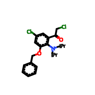 CC(C)N(c1c(OCc2ccccc2)cc(Cl)cc1C(=O)CCl)C(C)C